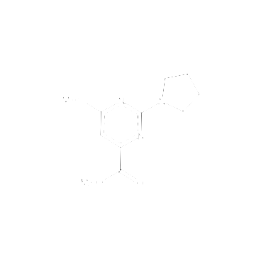 COC(=O)c1cc(OC)nc(N2CCCC2)n1